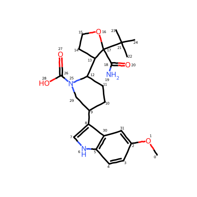 COc1ccc2[nH]cc(C3CCC(C4CCOC4(C(N)=O)C(C)(C)C)N(C(=O)O)C3)c2c1